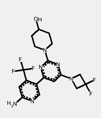 Nc1cc(C(F)(F)F)c(-c2cc(N3CC(F)(F)C3)nc(N3CCC(O)CC3)n2)cn1